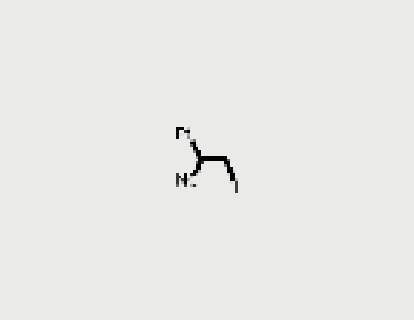 CCC(C#N)CI